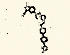 CCN(C(=O)[C@@H]1CCN(CC(=O)N2CC=C(c3ccc(-c4ncn(C)n4)cc3)CC2)C1)c1ccc2[nH]nc(C#N)c2c1